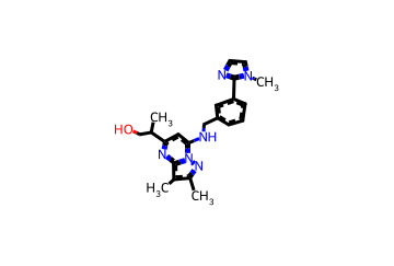 Cc1nn2c(NCc3cccc(-c4nccn4C)c3)cc(C(C)CO)nc2c1C